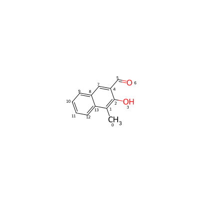 Cc1c(O)c(C=O)cc2ccccc12